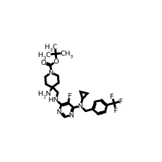 CC(C)(C)OC(=O)N1CCC(N)(CNc2ncnc(N(Cc3ccc(C(F)(F)F)cc3)C3CC3)c2F)CC1